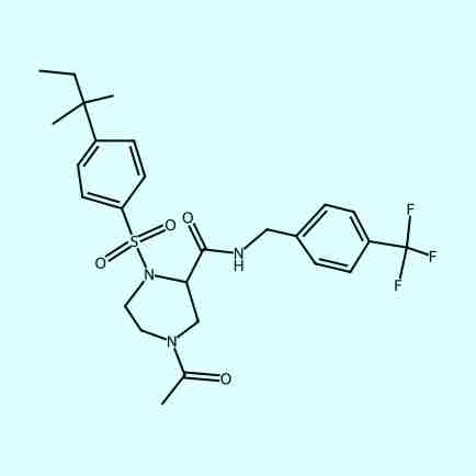 CCC(C)(C)c1ccc(S(=O)(=O)N2CCN(C(C)=O)CC2C(=O)NCc2ccc(C(F)(F)F)cc2)cc1